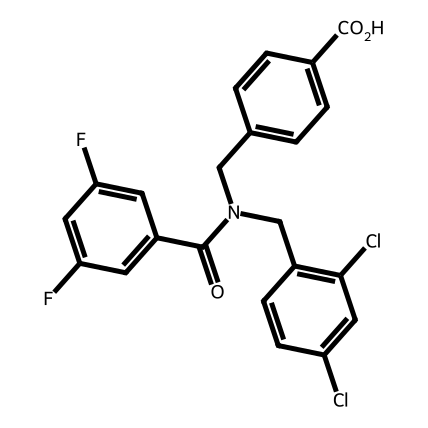 O=C(O)c1ccc(CN(Cc2ccc(Cl)cc2Cl)C(=O)c2cc(F)cc(F)c2)cc1